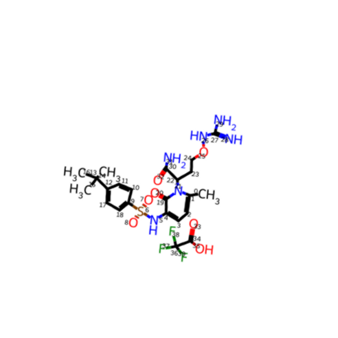 Cc1ccc(NS(=O)(=O)c2ccc(C(C)(C)C)cc2)c(=O)n1C(CCONC(=N)N)C(N)=O.O=C(O)C(F)(F)F